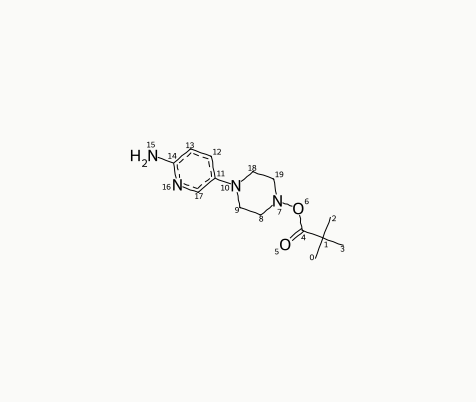 CC(C)(C)C(=O)ON1CCN(c2ccc(N)nc2)CC1